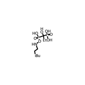 CCC(C)CCNOP(=O)(O)C(O)(CC)P(=O)(O)O